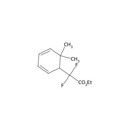 CCOC(=O)C(F)(F)C1C=CC=CC1(C)C